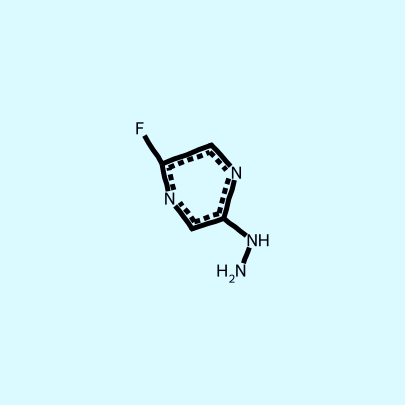 NNc1cnc(F)cn1